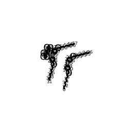 CCCCCCCCOc1ccc([I+]c2ccc(OCCCCCCCC)cc2)cc1.CCCCCCCCOc1ccc([I+]c2ccc(OCCCCCCCC)cc2)cc1.O=S(=O)([O-])CCS(=O)(=O)[O-]